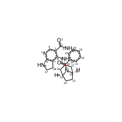 NC(=O)c1cnc2c(c1N[C@@H]1C[C@H]3CC[C@@H](C1)N3C(=O)c1ccccc1)CCN2